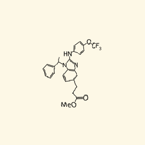 COC(=O)CCc1ccc2c(c1)nc(Nc1ccc(OC(F)(F)F)cc1)n2C(C)c1ccccc1